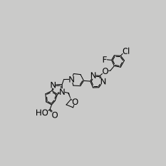 O=C(O)c1ccc2nc(CN3CC=C(c4ccnc(OCc5ccc(Cl)cc5F)n4)CC3)n(C[C@@H]3CCO3)c2c1